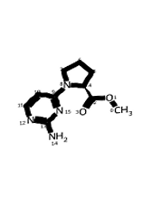 COC(=O)[C@@H]1CCCN1c1ccnc(N)n1